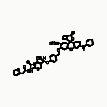 CCCCCCc1cc2c(cc1OCc1ccc(OCC3=C(C(=O)O)N4C(=O)[C@H](NC(=O)Cc5cccs5)C4SC3)cc1)Oc1cc(N(C)c3ccccc3)ccc1C21OC(=O)c2ccccc21